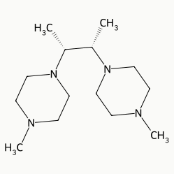 C[C@H]([C@H](C)N1CCN(C)CC1)N1CCN(C)CC1